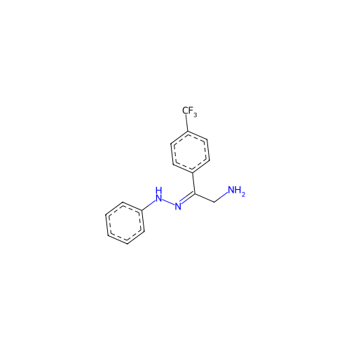 NCC(=NNc1ccccc1)c1ccc(C(F)(F)F)cc1